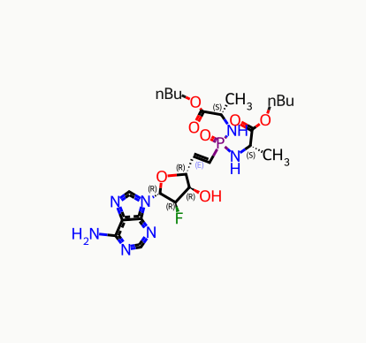 CCCCOC(=O)[C@H](C)NP(=O)(/C=C/[C@H]1O[C@@H](n2cnc3c(N)ncnc32)[C@H](F)[C@@H]1O)N[C@@H](C)C(=O)OCCCC